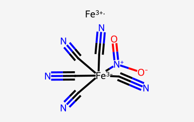 N#[C][Fe-3]([C]#N)([C]#N)([C]#N)([C]#N)[N+](=O)[O-].[Fe+3]